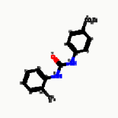 CCOC(=O)c1ccc(NC(=O)Nc2ccccc2C(F)(F)F)cc1